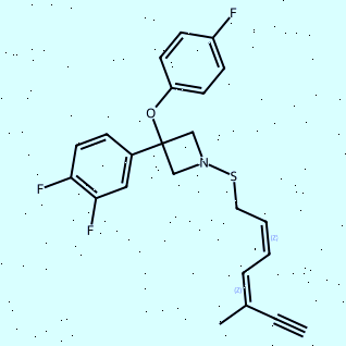 C#C/C(C)=C\C=C/CSN1CC(Oc2ccc(F)cc2)(c2ccc(F)c(F)c2)C1